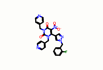 O=c1c([N+](=O)[O-])c(-c2cnn(Cc3ccccc3F)c2)n(Cc2ccncc2)c(=O)n1Cc1ccncc1